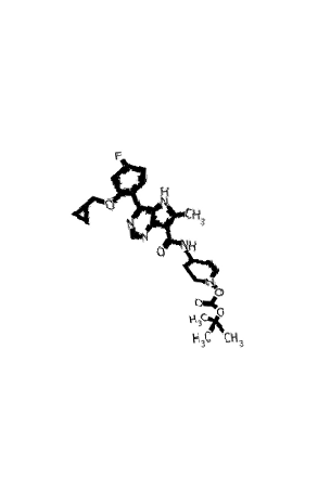 Cc1[nH]c2c(-c3ccc(F)cc3OCC3CC3)ncnc2c1C(=O)NC1CCN(OC(=O)OC(C)(C)C)CC1